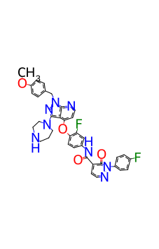 COc1ccc(Cn2nc(N3CCCNCC3)c3c(Oc4ccc(NC(=O)c5ccnn(-c6ccc(F)cc6)c5=O)cc4F)ccnc32)cc1